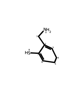 NCC1=CCCC=C1S